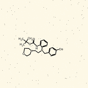 [CH]c1ccc(CN(CCN2CCOCC2)c2ccccc2NC(=O)OC(C)(C)C)cc1